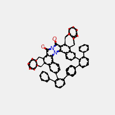 O=c1c2c3c(c4cc(-c5c(-c6ccccc6)cccc5-c5ccccc5)ccc4c2n2c4c(c5c(c6cc(-c7c(-c8ccccc8)cccc7-c7ccccc7)ccc64)C4c6ccccc6C5c5ccccc54)c(=O)n12)C1c2ccccc2C3c2ccccc21